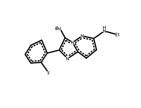 CCNc1ccc2nc(-c3ccccc3F)c(C(C)CC)n2n1